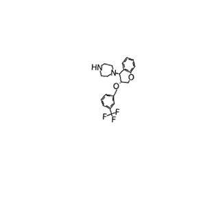 FC(F)(F)c1cccc(CO[C@H]2COc3ccccc3[C@@H]2N2CCNCC2)c1